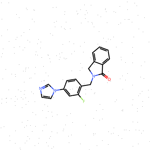 O=C1c2ccccc2CN1Cc1ccc(-n2ccnc2)cc1F